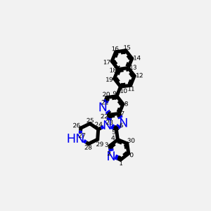 c1cncc(-c2nc3cc(-c4ccc5ccccc5c4)cnc3n2C2CCNCC2)c1